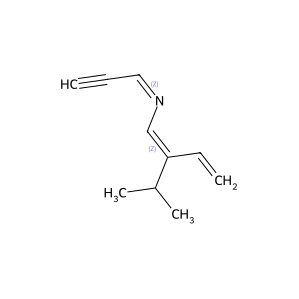 C#C/C=N\C=C(/C=C)C(C)C